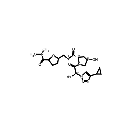 CN(C)C(=O)C1CCC(CNC(=O)[C@@H]2C[C@@H](O)CN2C(=O)[C@@H](n2cc(C3CC3)nn2)C(C)(C)C)O1